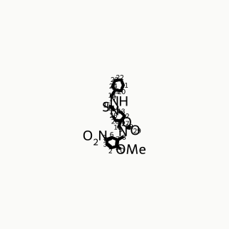 COc1ccc([N+](=O)[O-])cc1CN1CC2(CCN(C(=S)NCC3CCCCC3)CC2)OC1=O